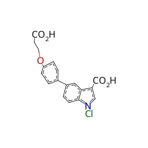 O=C(O)CCOc1ccc(-c2ccc3c(c2)c(C(=O)O)cn3Cl)cc1